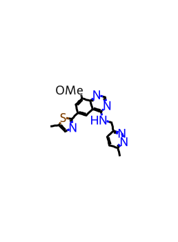 COc1cc(-c2ncc(C)s2)cc2c(NCc3ccc(C)nn3)ncnc12